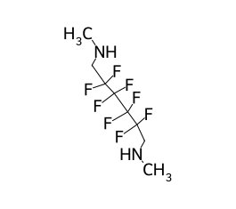 CNCC(F)(F)C(F)(F)C(F)(F)C(F)(F)CNC